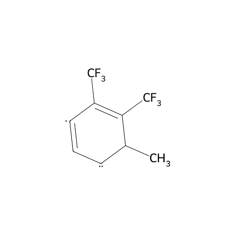 CC1[C]C=[C]C(C(F)(F)F)=C1C(F)(F)F